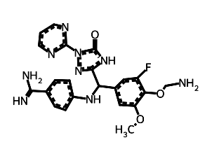 COc1cc(C(Nc2ccc(C(=N)N)cc2)c2nn(-c3ncccn3)c(=O)[nH]2)cc(F)c1OCN